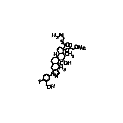 COCC(=O)O[C@]1(C(=O)SCN)CCC2[C@@H]3CCC4=Cc5c(cnn5-c5ccc(F)c(CO)c5)C[C@]4(C)C3[C@@H](O)C[C@@]21C